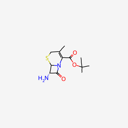 CC1=C(C(=O)OC(C)(C)C)N2C(=O)[C@H](N)C2SC1